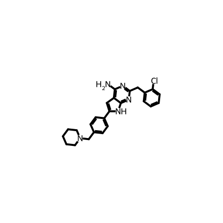 Nc1nc(Cc2ccccc2Cl)nc2[nH]c(-c3ccc(CN4CCCCC4)cc3)cc12